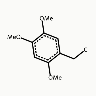 COc1cc(OC)c(OC)cc1CCl